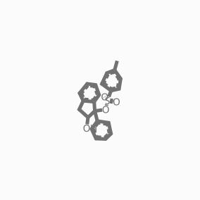 Cc1ccc(S(=O)(=O)OC2(c3ccccc3)c3ccccc3CC2O)cc1